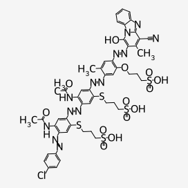 CC(=O)Nc1cc(N=Nc2cc(SCCCS(=O)(=O)O)c(N=Nc3cc(OCCCS(=O)(=O)O)c(N=Nc4c(C)c(C#N)c5nc6ccccc6n5c4O)cc3C)cc2NC(C)=O)c(SCCCS(=O)(=O)O)cc1N=Nc1ccc(Cl)cc1